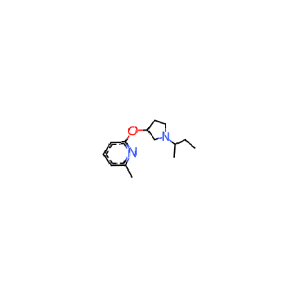 CCC(C)N1CCC(Oc2cccc(C)n2)C1